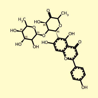 CC1O[C@H](c2c(O)cc3oc(-c4ccc(O)cc4)cc(=O)c3c2O)C(O[C@@H]2OC(C)[C@H](O)[C@H](O)C2O)[C@@H](O)C1=O